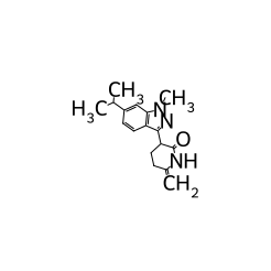 C=C1CCC(c2nn(C)c3cc(C(C)C)ccc23)C(=O)N1